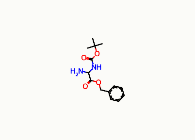 CC(C)(C)OC(=O)NC(N)C(=O)OCc1ccccc1